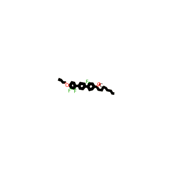 C=CCCOc1ccc(-c2ccc(-c3ccc(C4CCC(CCCCC)CO4)cc3F)cc2)c(F)c1F